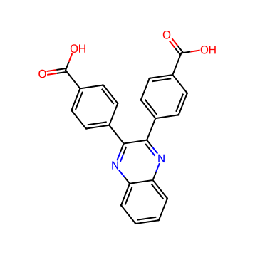 O=C(O)c1ccc(-c2nc3ccccc3nc2-c2ccc(C(=O)O)cc2)cc1